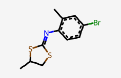 Cc1cc(Br)ccc1/N=C1\SCC(C)S1